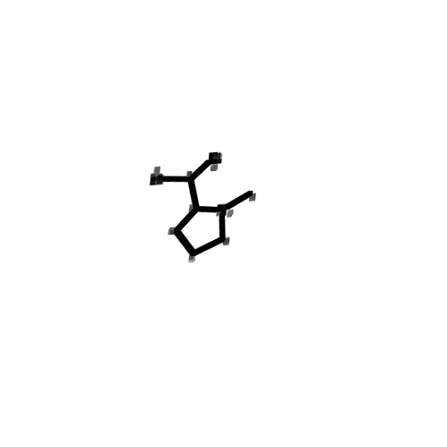 CCC(CC)C1CCCN1C